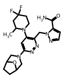 CC1CC(F)(F)CCN1c1cc(N2CC3CCC(C2)O3)nnc1Cn1nccc1C(N)=O